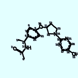 CC(=O)N[C@@H](C)c1ccc(OC2CCN(c3ncc(O)cn3)C2)cc1